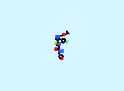 CC(C)COCCn1ncc(-c2nc(CC(=O)NCC3CCOCC3)cs2)c1-c1ccc(F)cc1